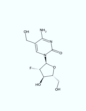 Nc1nc(=O)n([C@H]2O[C@H](CO)[C@@H](O)[C@@H]2F)cc1CO